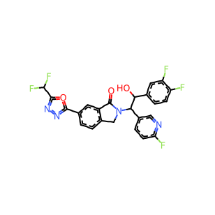 O=C1c2cc(-c3nnc(C(F)F)o3)ccc2CN1C(c1ccc(F)nc1)C(O)c1ccc(F)c(F)c1